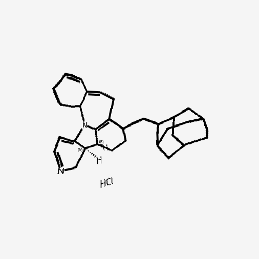 C1=CC2=CCC3=C4[C@H](CCC3CC3C5CC6CC(C5)CC3C6)[C@H]3CN=CC=C3N4C2CC1.Cl